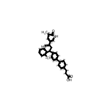 Cc1ccccc1C(C/C(=N\O)c1c[nH]c(=O)c(C)c1)c1ccc(-c2ccc(CCC(=O)O)cc2)cc1